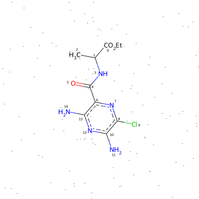 CCOC(=O)C(C)NC(=O)c1nc(Cl)c(N)nc1N